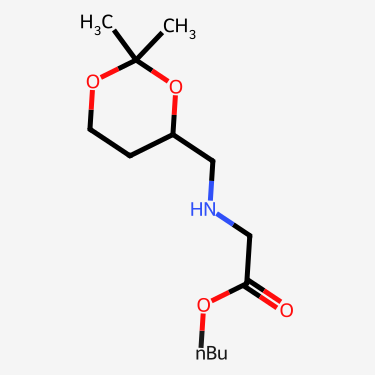 CCCCOC(=O)CNCC1CCOC(C)(C)O1